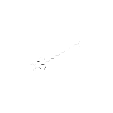 CC(C)CCCCCCCCCCCCCc1cccc(C(=O)O)c1C(=O)O